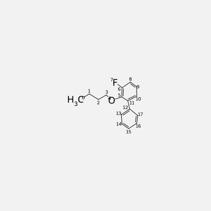 CCCCOc1c(F)cccc1-c1ccccc1